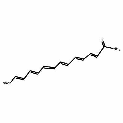 CCCCCCCCC/C=C/C=C/C=C/C=C/C=C/C=C/C(N)=O